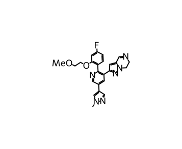 COCCOc1cc(F)ccc1-c1ncc(-c2cnn(C)c2)cc1-c1cc2n(n1)CCN=C2